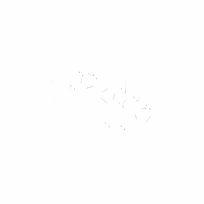 CN(CC1CC1)c1cc(-c2ccc3nc(Nc4cc(CN5CCNCC5)ccn4)[nH]c3c2)ncn1